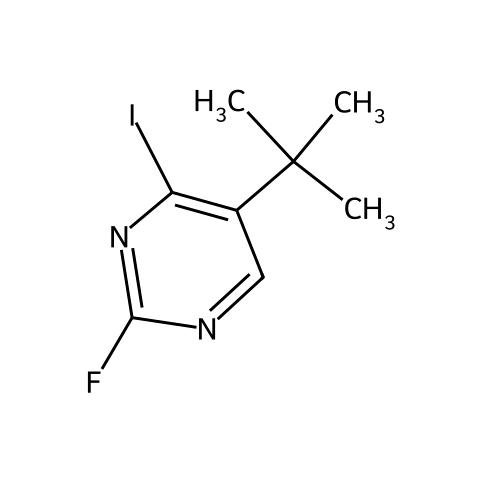 CC(C)(C)c1cnc(F)nc1I